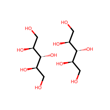 OC[C@@H](O)[C@@H](O)[C@@H](O)CO.OC[C@@H](O)[C@@H](O)[C@@H](O)CO